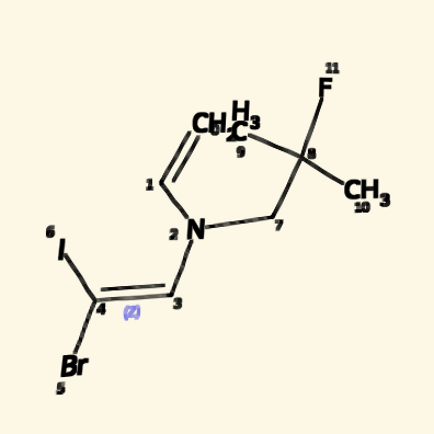 C=CN(/C=C(/Br)I)CC(C)(C)F